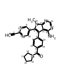 C#Cc1ncc(-c2c(-c3ccc(C(=O)N4CCCC4)cc3)c3c(N)ncnc3n2C)cn1